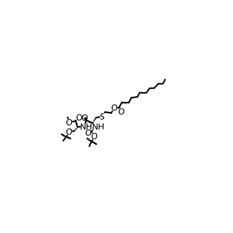 CCCCCCCCCCCC(=O)OCCSC[C@@H](NC(=O)OC(C)(C)C)C(=O)N[C@@H](COC(C)(C)C)C(=O)OC